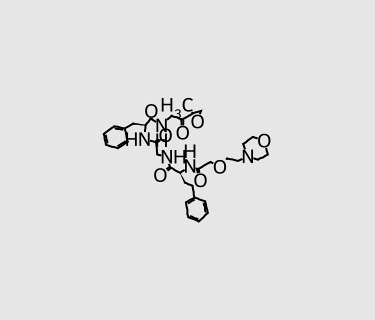 C[C@]1(C(=O)CNC(=O)[C@H](Cc2ccccc2)NC(=O)CNC(=O)[C@H](CCc2ccccc2)NC(=O)COCCN2CCOCC2)CO1